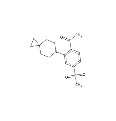 CC(=O)c1ccc(S(C)(=O)=O)cc1N1CCC2(CC1)CC2